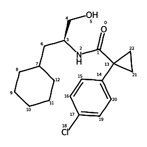 O=C(N[C@H](CO)CC1CCCCC1)C1(c2ccc(Cl)cc2)CC1